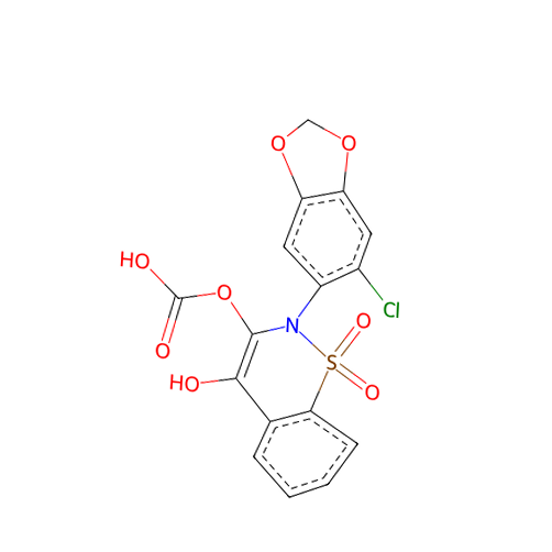 O=C(O)OC1=C(O)c2ccccc2S(=O)(=O)N1c1cc2c(cc1Cl)OCO2